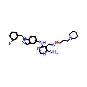 Nc1ncnc(Nc2ccc3c(cnn3Cc3cccc(F)c3)c2)c1C=NOCCCN1CCCCC1